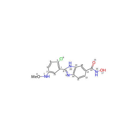 CONc1ccc(Cl)c(-c2nc3ccc(C(=O)NO)cc3[nH]2)c1